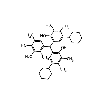 Cc1cc(C(c2cc(C3CCCCC3)c(C)c(C)c2O)c2cc(C3CCCCC3)c(C)c(C)c2O)c(C)c(C)c1O